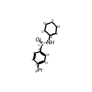 CC(C)c1ccc([S+]([O-])NC2CCCCC2)cc1